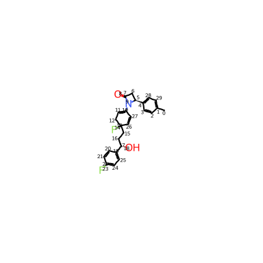 Cc1ccc([C@@H]2CC(=O)N2C2=CCC(F)(CC[C@H](O)c3ccc(F)cc3)C=C2)cc1